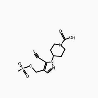 CS(=O)(=O)OCc1cnn(C2CCN(C(=O)O)CC2)c1C#N